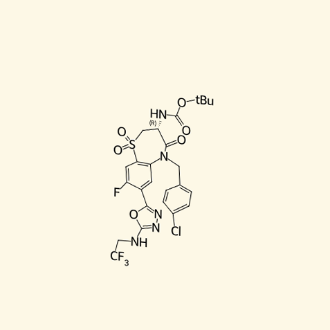 CC(C)(C)OC(=O)N[C@H]1CS(=O)(=O)c2cc(F)c(-c3nnc(NCC(F)(F)F)o3)cc2N(Cc2ccc(Cl)cc2)C1=O